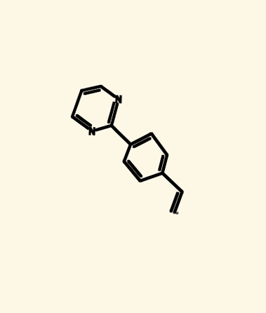 [CH]=Cc1ccc(-c2ncccn2)cc1